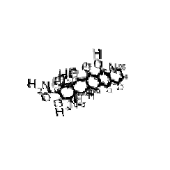 CN(C)[C@@H]1C(O)=C(C(N)=O)C(=O)[C@@]2(O)C(O)=C3C(=O)c4c(cc5cccnc5c4O)C[C@H]3C[C@@H]12